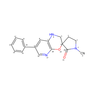 N#CN1CCC2(CNc3cc(-c4ccccc4)cnc3O2)C1=O